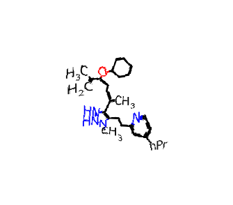 C=C(C)/C(=C\C=C(/C)C1=C(CCc2cc(CCC)ccn2)N(C)NN1)OC1CCCCC1